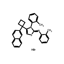 Br.Cc1ccccc1N=c1scc(C2(c3ccc4ccccc4c3)CCC2)n1-c1ccccc1C